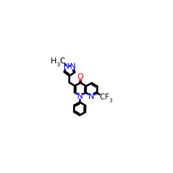 Cn1cc(Cc2cn(-c3ccccc3)c3nc(C(F)(F)F)ccc3c2=O)cn1